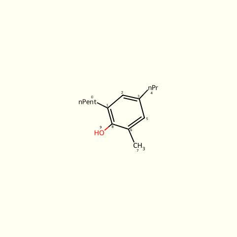 CCCCCc1cc(CCC)cc(C)c1O